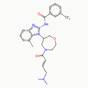 Cc1cccc2nc(NC(=O)c3cccc(C(F)(F)F)c3)n(C3COCCN(C(=O)C=CCN(C)C)C3)c12